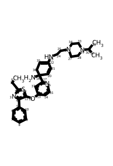 CCc1nc(-c2ccccc2)c(Oc2ccnc(C3(N)C=CC(NCCN4CCN(C(C)C)CC4)=CC3)c2)s1